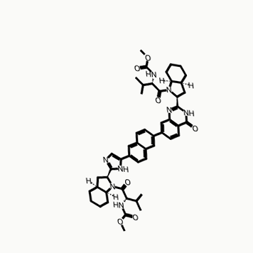 COC(=O)N[C@H](C(=O)N1[C@H](c2ncc(-c3ccc4cc(-c5ccc6c(=O)[nH]c([C@@H]7C[C@@H]8CCCC[C@@H]8N7C(=O)[C@@H](NC(=O)OC)C(C)C)nc6c5)ccc4c3)[nH]2)C[C@@H]2CCCC[C@@H]21)C(C)C